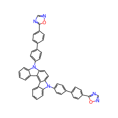 c1ccc2c(c1)c1c3c4ccccc4n(-c4ccc(-c5ccc(-c6ncno6)cc5)cc4)c3ccc1n2-c1ccc(-c2ccc(-c3ncno3)cc2)cc1